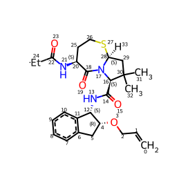 C=CCO[C@@H]1Cc2ccccc2[C@@H]1NC(=O)[C@H]1N2C(=O)[C@@H](NC(=O)[CH]C)CCS[C@H]2CC1(C)C